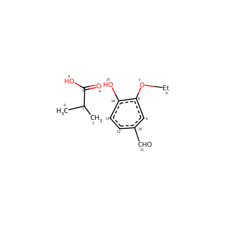 CC(C)C(=O)O.CCOc1cc(C=O)ccc1O